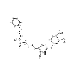 CCOc1cc(Cc2nnc(CCCNC(=O)C(CCCc3ccccc3)C(C)=O)c(=O)[nH]2)ccc1OC